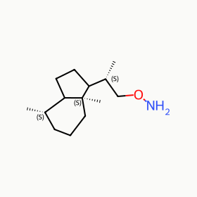 C[C@H](CON)C1CCC2[C@@H](C)CCC[C@]12C